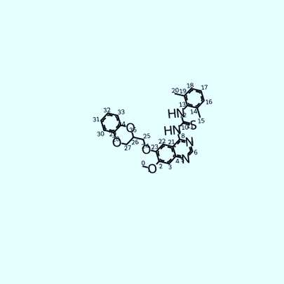 COc1cc2ncnc(NC(=S)Nc3c(C)cccc3C)c2cc1OCC1COc2ccccc2O1